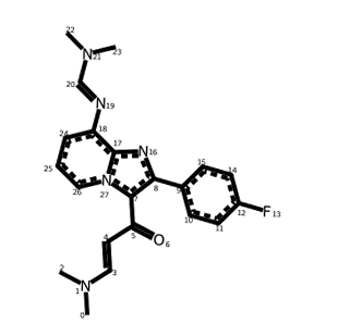 CN(C)C=CC(=O)c1c(-c2ccc(F)cc2)nc2c(N=CN(C)C)cccn12